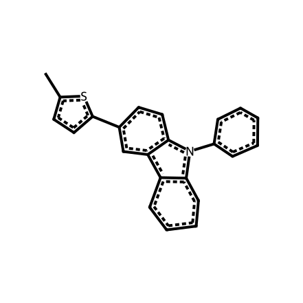 Cc1ccc(-c2ccc3c(c2)c2ccccc2n3-c2ccccc2)s1